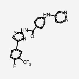 O=C(Nc1nc(-c2ccc(F)c(C(F)(F)F)c2)cs1)c1ccc(Nc2ccnnc2)cc1